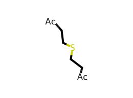 CC(=O)CCSCCC(C)=O